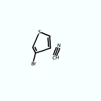 Brc1ccsc1.C#N